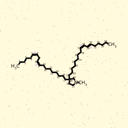 CCCCC/C=C\C/C=C\CCCCCCCCC1(CCCCCCCC/C=C\C=C\CCCCC)CCN(C)C1